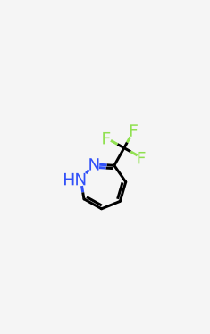 FC(F)(F)C1=NNC=CC=C1